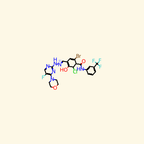 O=C(Nc1cccc(C(F)(F)F)c1)C1C(Br)=CC(/C=N/Nc2ncc(F)c(N3CCOCC3)n2)=C(O)C1Cl